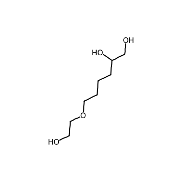 OCCOCCCCC(O)CO